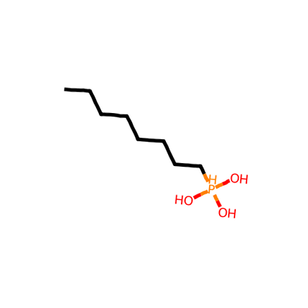 CCCCCCCC[PH](O)(O)O